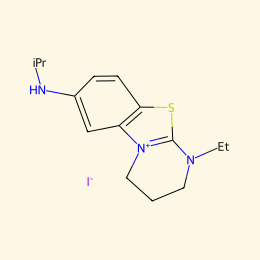 CCN1CCC[n+]2c1sc1ccc(NC(C)C)cc12.[I-]